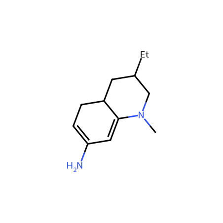 CCC1CC2CC=C(N)C=C2N(C)C1